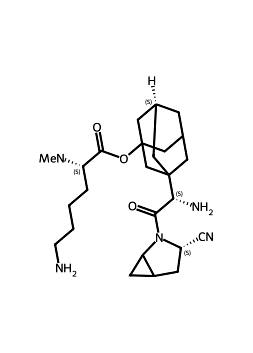 CN[C@@H](CCCCN)C(=O)OC12CC3C[C@H](C1)CC([C@H](N)C(=O)N1C4CC4C[C@H]1C#N)(C3)C2